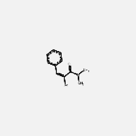 CC(=O)/C(=C/c1ccccc1)C(=O)N(C)C